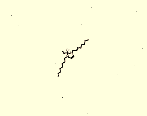 CCCCCCCCN1C=CN(CCCCCCCC)C1(Br)CC